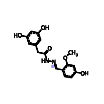 COc1cc(O)ccc1/C=N/NC(=O)Cc1cc(O)cc(O)c1